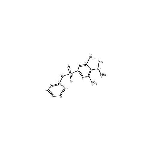 CCCCN(CCCC)c1c([N+](=O)[O-])cc(S(=O)(=O)Nc2ccccc2)cc1[N+](=O)[O-]